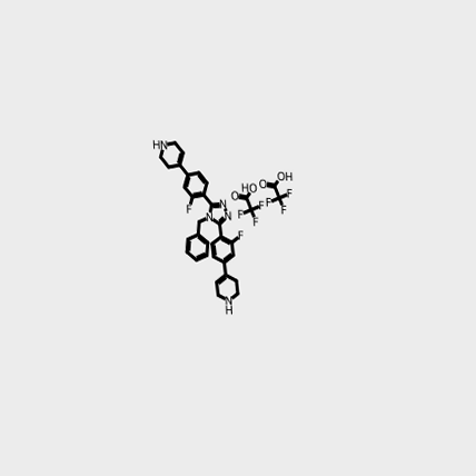 Fc1cc(C2=CCNCC2)ccc1-c1nnc(-c2ccc(C3=CCNCC3)cc2F)n1Cc1ccccc1.O=C(O)C(F)(F)F.O=C(O)C(F)(F)F